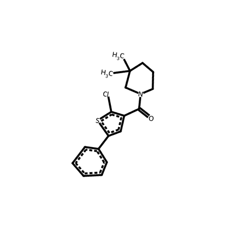 CC1(C)CCCN(C(=O)c2cc(-c3ccccc3)sc2Cl)C1